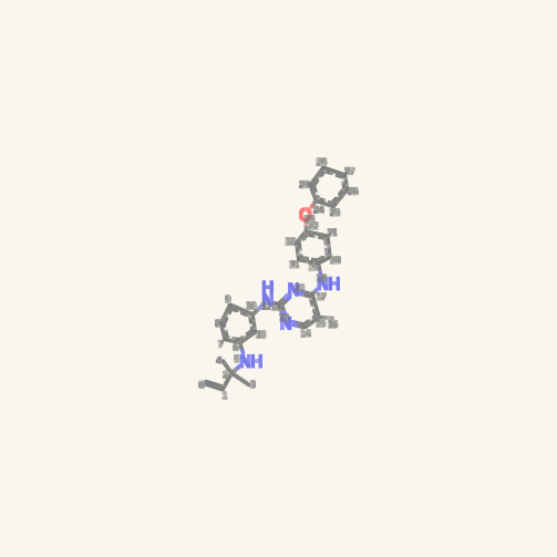 C=CC(C)(C)Nc1cccc(Nc2ncc(C)c(Nc3ccc(Oc4ccccc4)cc3)n2)c1